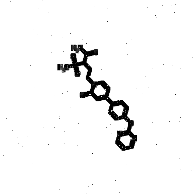 CS(=O)(=O)C(CCn1ccc(-c2ccc(Oc3ncccn3)cc2)cc1=O)C(N)=O